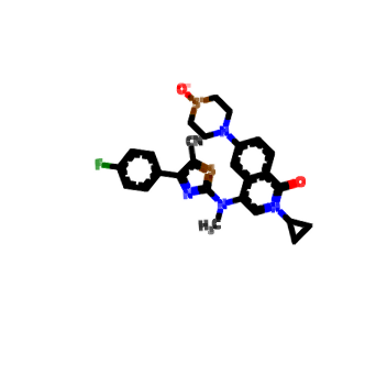 CN(c1nc(-c2ccc(F)cc2)c(C#N)s1)c1cn(C2CC2)c(=O)c2ccc(N3CC[S+]([O-])CC3)cc12